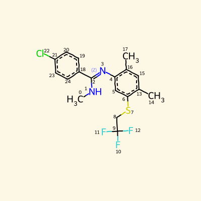 CN/C(=N\c1cc(SCC(F)(F)F)c(C)cc1C)c1ccc(Cl)cc1